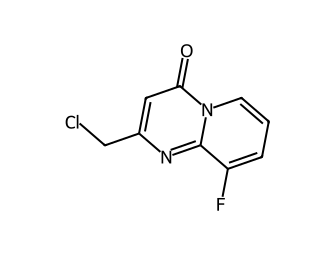 O=c1cc(CCl)nc2c(F)cccn12